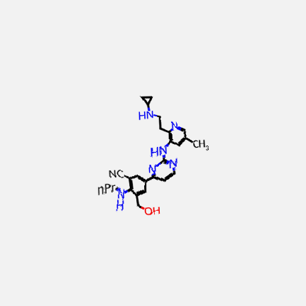 CCCNc1c(C#N)cc(-c2ccnc(Nc3cc(C)cnc3CCNC3CC3)n2)cc1CO